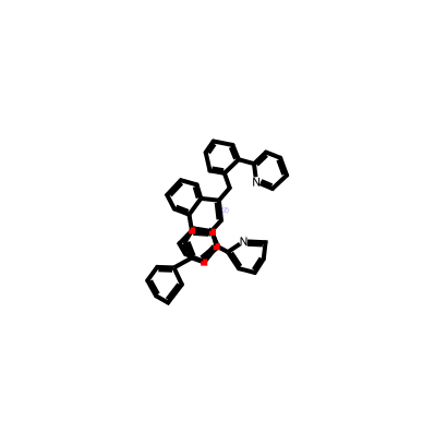 C(=C(\Cc1ccccc1-c1ccccn1)c1ccccc1-c1cc(-c2ccccc2)ccn1)/c1ccccc1-c1ccccn1